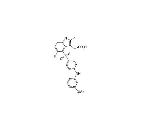 COc1cccc(Nc2ccc(S(=O)(=O)C3=C4C(=NC(C)=C4CC(=O)O)CC=C3F)cc2)c1